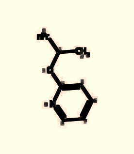 CCCC(C)Oc1ccccn1